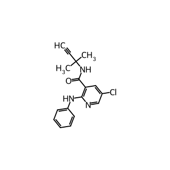 C#CC(C)(C)NC(=O)c1cc(Cl)cnc1Nc1ccccc1